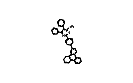 CCCc1nc(-c2ccc(-c3ccc4c(c3)c3c(c5ccccc54)C=CCC3)cc2)nc(-c2ccccc2)c1-c1ccccc1